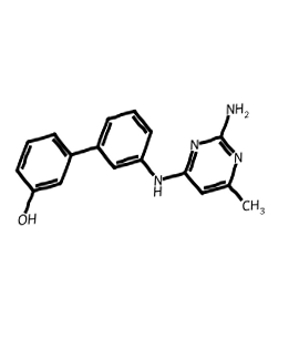 Cc1cc(Nc2cccc(-c3cccc(O)c3)c2)nc(N)n1